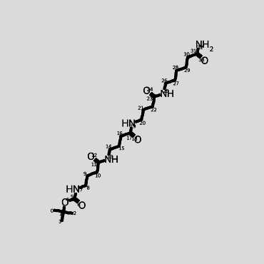 CC(C)(C)OC(=O)NCCCC(=O)NCCCC(=O)NCCCC(=O)NCCCCCC(N)=O